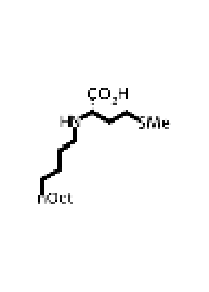 CCCCCCCCCCCCN[C@@H](CCSC)C(=O)O